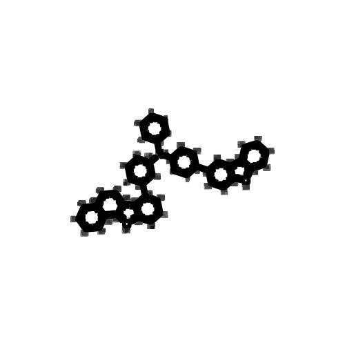 c1ccc(N(c2ccc(-c3ccc4oc5ccccc5c4c3)cc2)c2cccc(-c3cccc4oc5c6ccccc6ccc5c34)c2)cc1